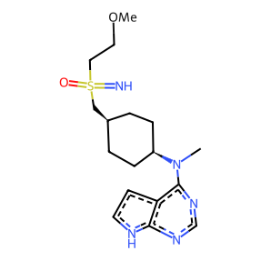 COCCS(=N)(=O)C[C@H]1CC[C@@H](N(C)c2ncnc3[nH]ccc23)CC1